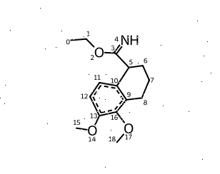 CCOC(=N)C1CCCc2c1ccc(OC)c2OC